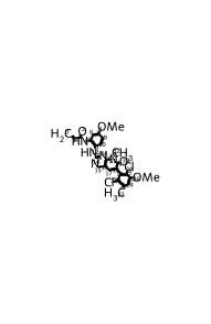 C=CC(=O)Nc1cc(OC)ccc1Nc1ncc2cc(-c3c(Cl)c(C)cc(OC)c3Cl)c(=O)n(C)c2n1